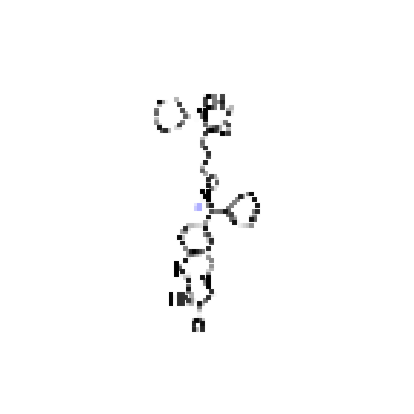 CN(C(=O)CCCO/N=C(\c1ccccc1)c1ccc2c(c1)CN1CC(=O)NC1=N2)C1CCCCC1